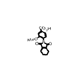 COc1cc(C(=O)O)ccc1N1C(=O)C2=C(CCCC2)C1=O